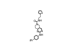 CC(C)c1ccc(Nc2ncc3c(n2)CCN(C(=O)NCCc2cccs2)C3)cc1